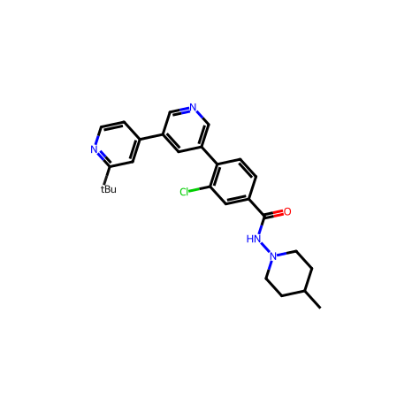 CC1CCN(NC(=O)c2ccc(-c3cncc(-c4ccnc(C(C)(C)C)c4)c3)c(Cl)c2)CC1